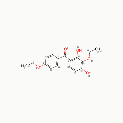 CCOc1ccc(C(=O)c2ccc(O)c(OCC)c2O)cc1